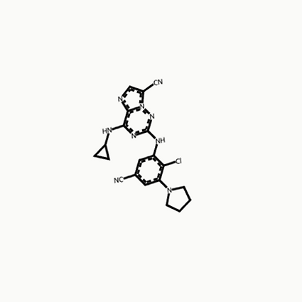 N#Cc1cc(Nc2nc(NC3CC3)c3ncc(C#N)n3n2)c(Cl)c(N2CCCC2)c1